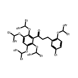 CCCC(CC)Oc1ccc(CC)cc1CCC(=O)c1c(OC(CC)CCC)c(OC(CC)CCC)cc(OC(CC)CCC)c1OC(CC)CCC